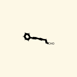 O=CC=CC#CC#Cc1ccccc1